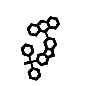 O=P(c1ccccc1)(c1ccccc1)c1ccc2oc3ccc(-c4c5ccccc5cc5ccccc45)cc3c2c1